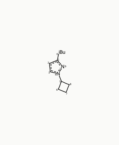 CCC(C)c1ccn(C2CCC2)n1